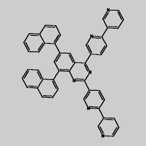 c1cncc(-c2ccc(-c3nc(-c4ccc(-c5cccnc5)nc4)c4cc(-c5cccc6ccccc56)cc(-c5cccc6ccccc56)c4n3)cn2)c1